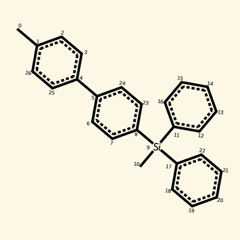 Cc1ccc(-c2ccc([Si](C)(c3ccccc3)c3ccccc3)cc2)cc1